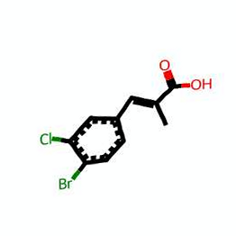 C/C(=C\c1ccc(Br)c(Cl)c1)C(=O)O